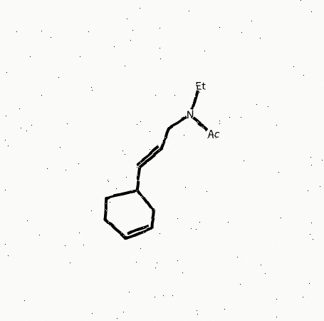 CCN(C/C=C/C1CC=CCC1)C(C)=O